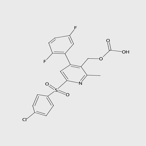 Cc1nc(S(=O)(=O)c2ccc(Cl)cc2)cc(-c2cc(F)ccc2F)c1COC(=O)O